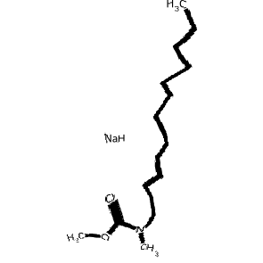 CCCCCCCCCCCCN(C)C(=O)OC.[NaH]